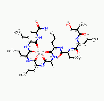 CC(=O)CC[C@@H](NC(=O)C(CC(=O)O)NC(=O)[C@@H](CCC(=O)O)NC(=O)C(CO)NC(C)=O)C(=O)NC(C)C(=O)N[C@H](CCC(=O)O)C(=O)NC(CCC(=O)O)C(=O)N[C@H](CCC(=O)O)C(=O)NC(C)C(N)=O